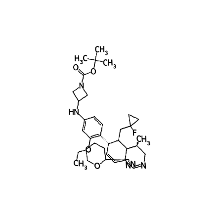 CCOc1cc(NC2CN(C(=O)OC(C)(C)C)C2)ccc1[C@H]1C=CC23C(=NC[C@H](C)C2C1CC1(F)CC1)N=NC3C1CCCCO1